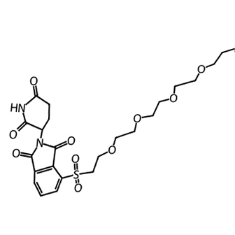 O=C1CCC(N2C(=O)c3cccc(S(=O)(=O)CCOCCOCCOCCOCCI)c3C2=O)C(=O)N1